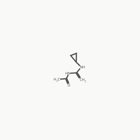 C=C(NC(C)=O)NC1CC1